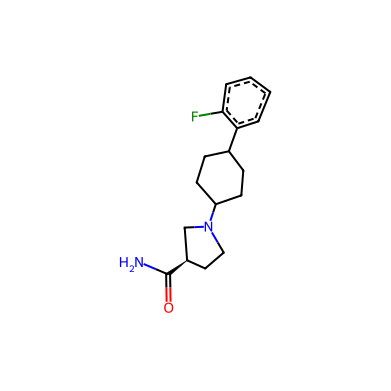 NC(=O)[C@@H]1CCN(C2CCC(c3ccccc3F)CC2)C1